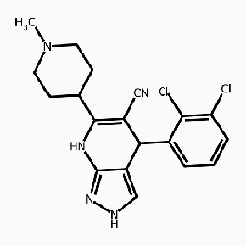 CN1CCC(C2=C(C#N)C(c3cccc(Cl)c3Cl)c3c[nH]nc3N2)CC1